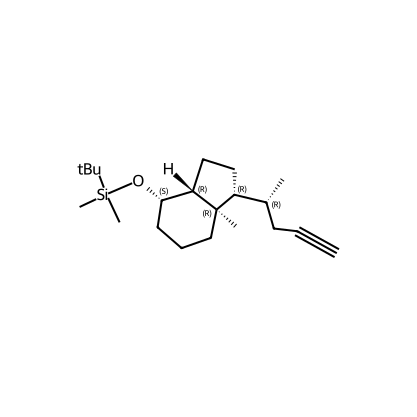 C#CC[C@@H](C)[C@H]1CC[C@H]2[C@@H](O[Si](C)(C)C(C)(C)C)CCC[C@]12C